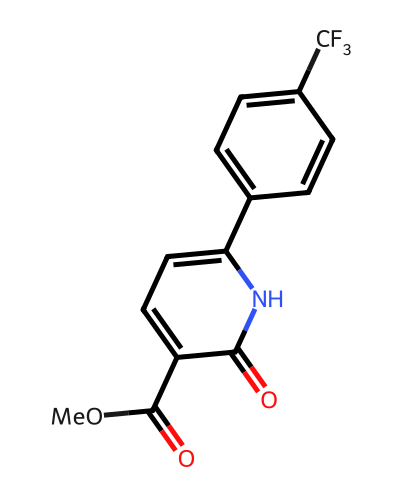 COC(=O)c1ccc(-c2ccc(C(F)(F)F)cc2)[nH]c1=O